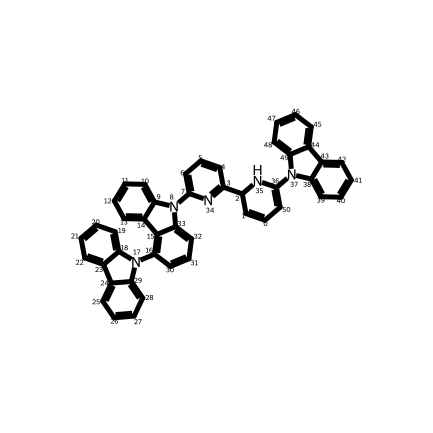 C1=CC(c2cccc(-n3c4ccccc4c4c(-n5c6ccccc6c6ccccc65)cccc43)n2)NC(n2c3ccccc3c3ccccc32)=C1